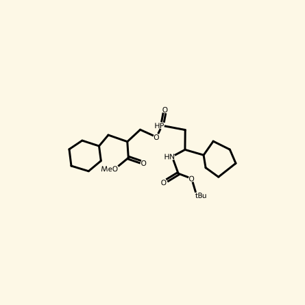 COC(=O)C(CO[PH](=O)CC(NC(=O)OC(C)(C)C)C1CCCCC1)CC1CCCCC1